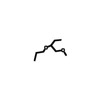 CCCOC(CC)COC